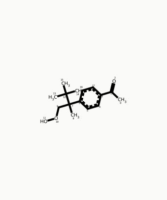 CC(=O)c1ccc(C(C)(COO)C(C)(C)C)cc1